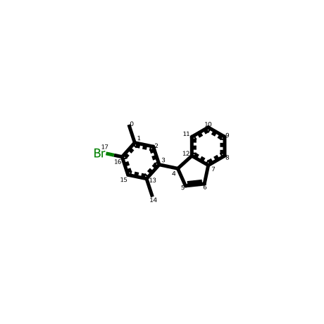 Cc1cc(C2C=Cc3ccccc32)c(C)cc1Br